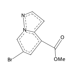 COC(=O)c1cc(Br)cn2nccc12